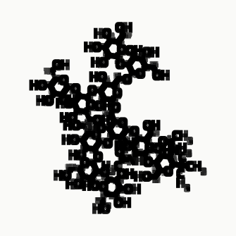 CC(=O)NC1C(C(C)(C)C)OC(CO)[C@@H](O[C@@H]2OC(CO)[C@@H](O[C@@H]3OC(CO[C@H]4OC(CO[C@H]5OC(CO)[C@@H](O)[C@H](O)C5O[C@H]5OC(CO)[C@@H](O)[C@H](O)C5O)[C@@H](O)[C@H](O[C@H]5O[C@@H](CO)[C@@H](O)C(O)C5O[C@H]5O[C@@H](CO)[C@@H](O)C(O)C5O)C4O)[C@@H](O)[C@H](O[C@H]4O[C@@H](CO)[C@@H](O)C(O)C4O[C@H]4O[C@@H](CO)[C@@H](O)C(O)C4O[C@H]4O[C@@H](CO)[C@@H](O)C(O)C4O)C3O)[C@H](O)C2NC(C)=O)[C@@H]1O